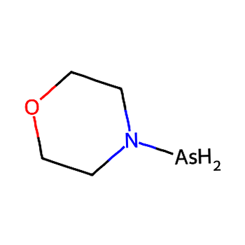 [AsH2]N1CCOCC1